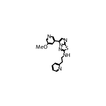 COc1cncc(-c2cnc3sc(NCCc4ccccn4)nn23)c1